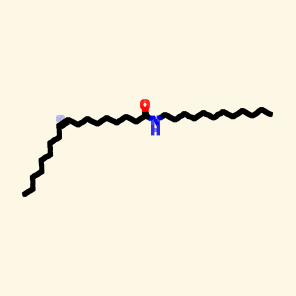 CCCCCCCC/C=C\CCCCCCCC(=O)NCCCCCCCCCCCC